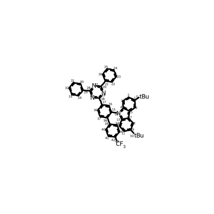 CC(C)(C)c1ccc2c(c1)c1cc(C(C)(C)C)ccc1n2-c1cc(-c2nc(-c3ccccc3)nc(-c3ccccc3)n2)ccc1-c1ccc(C(F)(F)F)cc1